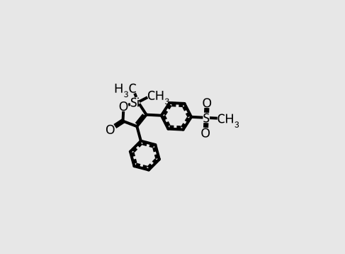 C[Si]1(C)OC(=O)C(c2ccccc2)=C1c1ccc(S(C)(=O)=O)cc1